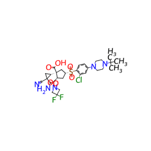 CC(C)(C)N1CCN(c2ccc(S(=O)(=O)[C@@H]3C[C@@H](C(=O)N4CC(F)(F)C4)[C@](C(=O)O)(C4CC4(C#N)C(N)=O)C3)c(Cl)c2)CC1